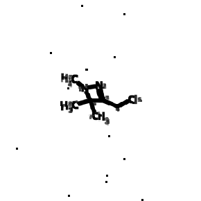 CN1N=C(CCl)C1(C)C